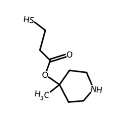 CC1(OC(=O)CCS)CCNCC1